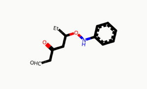 CCC(CC(=O)CC=O)ONc1ccccc1